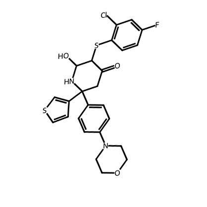 O=C1CC(c2ccc(N3CCOCC3)cc2)(c2ccsc2)NC(O)C1Sc1ccc(F)cc1Cl